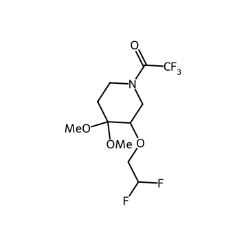 COC1(OC)CCN(C(=O)C(F)(F)F)CC1OCC(F)F